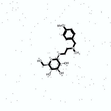 COc1ccc(CN(C)CCO[C@@H]2O[C@H](CO)[C@@H](O)[C@H](O)[C@H]2O)cc1